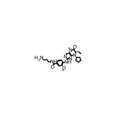 CC[C@@H]1C(=O)N(C)c2cnc(Nc3ccc(C(=O)NCCCN)cc3OC)nc2N1C1CCCC1